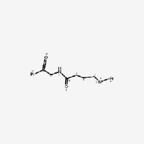 CC(C)NCCCC(=O)NCC(=O)C(C)C